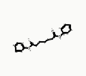 O=C(CCCCCC(=O)Oc1ccccc1)Oc1ccccc1